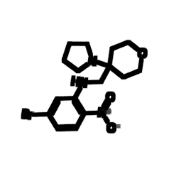 O=[N+]([O-])c1ccc(Br)cc1NCC1(N2CCCC2)CCOCC1